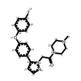 CN1CCN(C(=O)Cn2nccc2-c2ccc(Oc3ccc(F)cc3)cc2)CC1